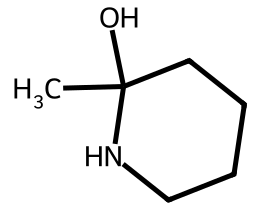 CC1(O)CCCCN1